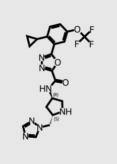 O=C(N[C@H]1CN[C@H](Cn2cncn2)C1)c1nnc(-c2cc(OC(F)(F)F)ccc2C2CC2)o1